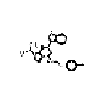 CC(C)n1cnc2c(NCCc3ccc(F)cc3)nc(-c3csc4ccccc34)nc21